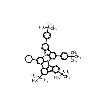 CC(C)(C)c1ccc(-c2ccc3c(c2)c2cc(-c4ccc(C(C)(C)C)cc4)cc4c2n3-c2cc(C3CCCCC3)cc3c2B4n2c4ccc(C(C)(C)C)cc4c4cc(C(C)(C)C)cc-3c42)cc1